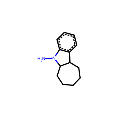 NN1c2ccccc2C2CCCCCC21